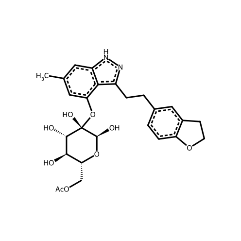 CC(=O)OC[C@H]1O[C@H](O)[C@@](O)(Oc2cc(C)cc3[nH]nc(CCc4ccc5c(c4)CCO5)c23)[C@@H](O)[C@@H]1O